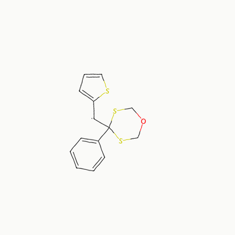 [CH](c1cccs1)C1(c2ccccc2)SCOCS1